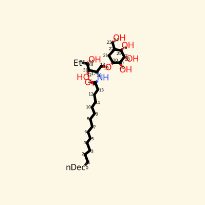 CCCCCCCCCCCCCCCCCCCCCCCC(=O)NC(COC1CC(CO)C(O)C(O)C1O)C(O)C(O)CC